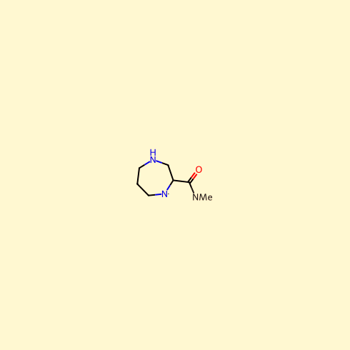 CNC(=O)C1CNCCC[N]1